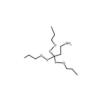 CCCOSC(CC[SiH3])(SOCCC)SOCCC